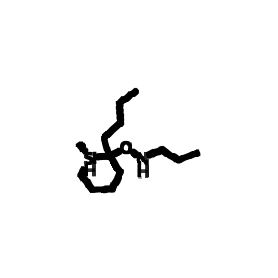 CCCCC1(ONCCC)CCCC[SiH]1C